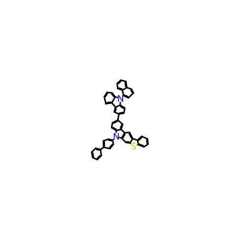 c1ccc(-c2ccc(-n3c4ccc(-c5ccc6c(c5)c5ccccc5n6-c5cccc6ccccc56)cc4c4cc5c(cc43)sc3ccccc35)cc2)cc1